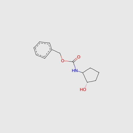 O=C(NC1CCC[C@@H]1O)OCc1ccccc1